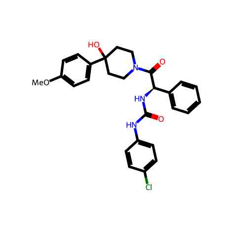 COc1ccc(C2(O)CCN(C(=O)[C@H](NC(=O)Nc3ccc(Cl)cc3)c3ccccc3)CC2)cc1